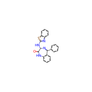 O=C1Nc2ccccc2C(c2ccccc2)=NC1Nc1nc2ccccc2s1